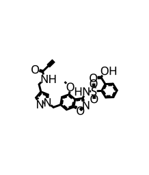 C#CC(=O)NCc1cnn(Cc2cc(OC)c3c(NS(=O)(=O)c4ccccc4C(=O)O)noc3c2)c1